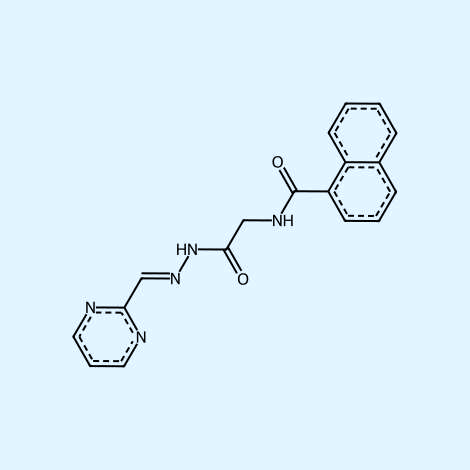 O=C(CNC(=O)c1cccc2ccccc12)N/N=C/c1ncccn1